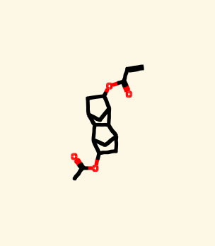 C=CC(=O)OC1CC2CC1C1C3CC(OC(C)=O)C(C3)C21